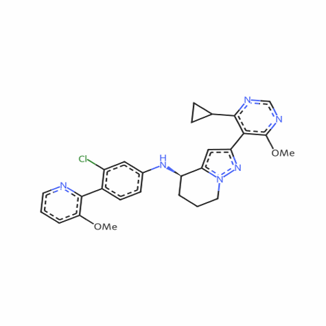 COc1cccnc1-c1ccc(N[C@@H]2CCCn3nc(-c4c(OC)ncnc4C4CC4)cc32)cc1Cl